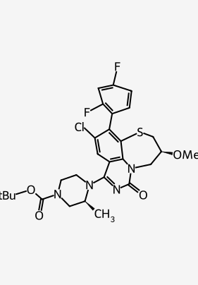 CO[C@@H]1CSc2c(-c3ccc(F)cc3F)c(Cl)cc3c(N4CCN(C(=O)OC(C)(C)C)C[C@@H]4C)nc(=O)n(c23)C1